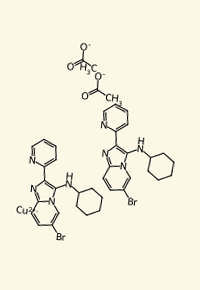 Brc1ccc2nc(-c3ccccn3)c(NC3CCCCC3)n2c1.Brc1ccc2nc(-c3ccccn3)c(NC3CCCCC3)n2c1.CC(=O)[O-].CC(=O)[O-].[Cu+2]